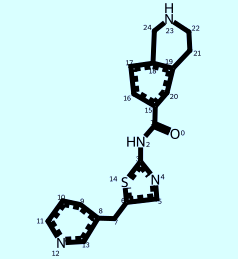 O=C(Nc1ncc(Cc2cccnc2)s1)c1ccc2c(c1)CCNC2